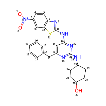 O=[N+]([O-])c1ccc2nc(Nc3cc(Cc4ccccc4)nc(NC4CCC(O)CC4)n3)sc2c1